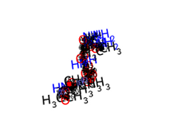 CC(=O)O[C@@H]1[C@@H](/C=C/C(C)=C/C[C@@H]2O[C@H](C)[C@H](NC(=O)/C=C\[C@H](C)OC(C)=O)C[C@@H]2C)O[C@H](CC(=O)NNC(=O)OCc2ccc(N(C(N)=O)[C@@H](CCCN)C(=O)NC(=O)[C@@H](N)C(C)C)cc2)C[C@@]12CO2